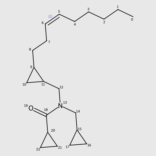 CCCCC/C=C\CCC1CC1CN(CC1CC1)C(=O)C1CC1